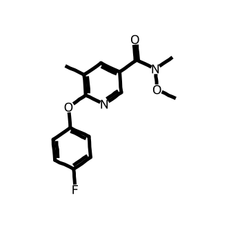 CON(C)C(=O)c1cnc(Oc2ccc(F)cc2)c(C)c1